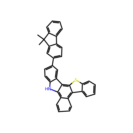 CC1(C)c2ccccc2-c2ccc(-c3ccc4[nH]c5c6ccccc6c6c7ccccc7sc6c5c4c3)cc21